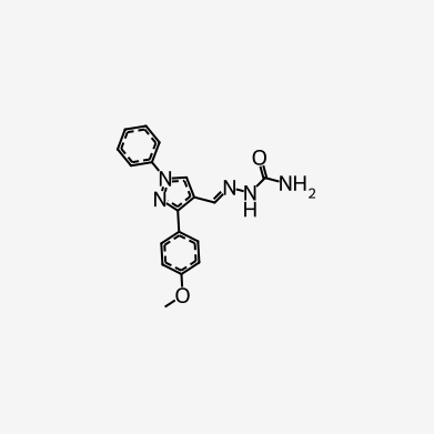 COc1ccc(-c2nn(-c3ccccc3)cc2/C=N/NC(N)=O)cc1